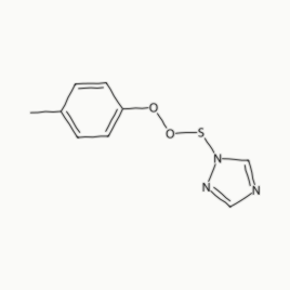 Cc1ccc(OOSn2cncn2)cc1